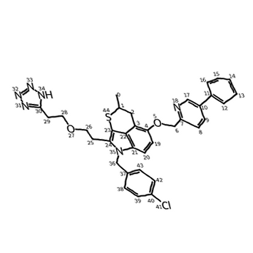 CC1Cc2c(OCc3ccc(-c4ccccc4)cn3)ccc3c2c(c(CCOCCc2nnn[nH]2)n3Cc2ccc(Cl)cc2)S1